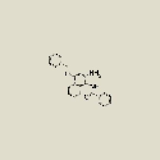 Nc1cc(OCc2ccccc2)c2ccccc2c1NC(=O)c1ccccc1